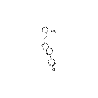 CC1CCCN1CCc1ccc2nc(-c3ccc(Cl)nc3)ccc2c1